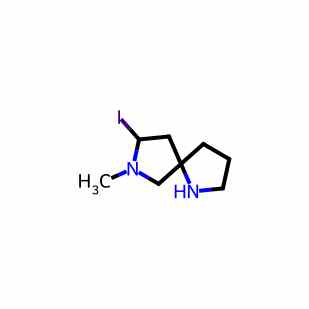 CN1CC2(CCCN2)CC1I